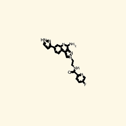 Nc1nc2cc(-c3cc[nH]n3)ccc2c2cn(CCNC(=O)c3ccc(F)cn3)nc12